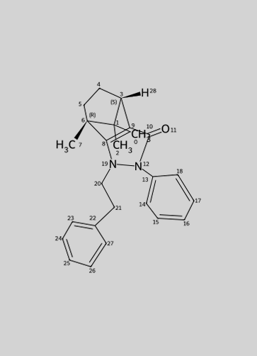 CC1(C)[C@@H]2CC[C@@]1(C)c1c2c(=O)n(-c2ccccc2)n1CCc1ccccc1